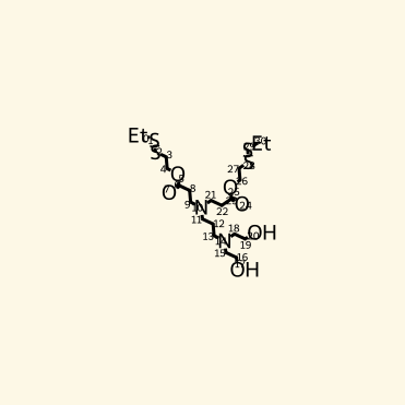 CCSSCCOC(=O)CCN(CCCN(CCO)CCO)CCC(=O)OCCSSCC